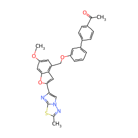 COc1cc(COc2cccc(-c3ccc(C(C)=O)cc3)c2)c2cc(-c3cn4nc(C)sc4n3)oc2c1